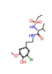 CCS(=O)(=O)N[C@H](C(=O)NCCc1cc(Br)c(O)c(OC)c1)C(C)C